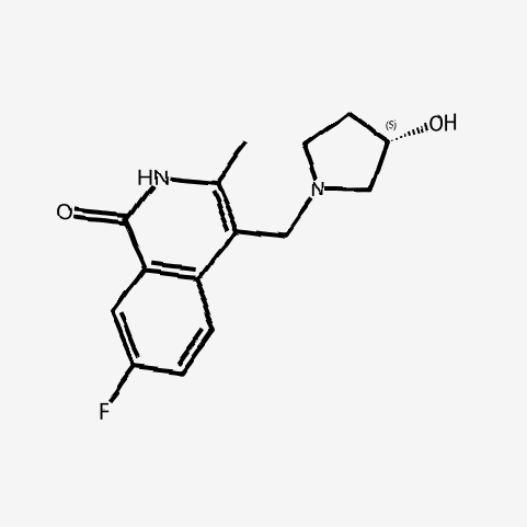 Cc1[nH]c(=O)c2cc(F)ccc2c1CN1CC[C@H](O)C1